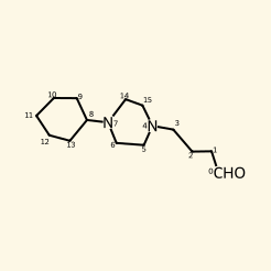 O=CCCCN1CCN(C2CCCCC2)CC1